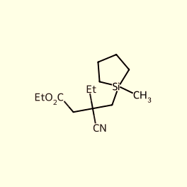 CCOC(=O)CC(C#N)(CC)C[Si]1(C)CCCC1